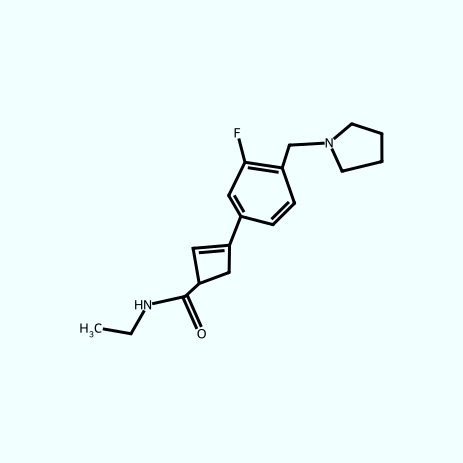 CCNC(=O)C1C=C(c2ccc(CN3CCCC3)c(F)c2)C1